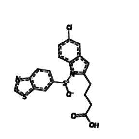 O=C(O)CCCc1cc2cc(Cl)ccc2n1[S+]([O-])c1ccc2ncsc2c1